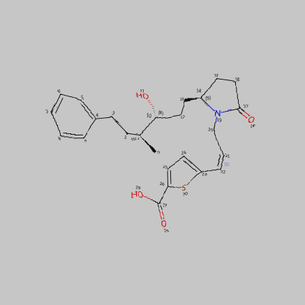 C[C@@H](CCc1ccccc1)[C@H](O)CC[C@H]1CCC(=O)N1C/C=C\c1ccc(C(=O)O)s1